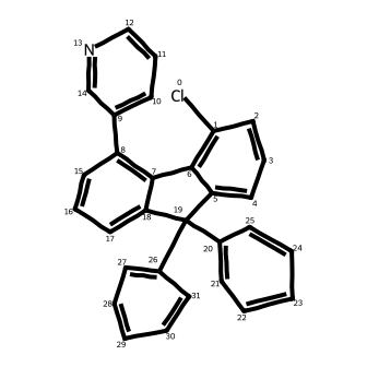 Clc1cccc2c1-c1c(-c3cccnc3)cccc1C2(c1ccccc1)c1ccccc1